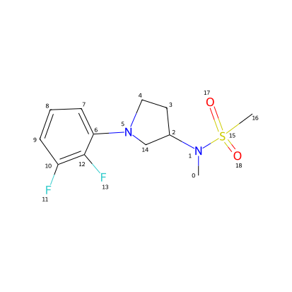 CN(C1CCN(c2cccc(F)c2F)C1)S(C)(=O)=O